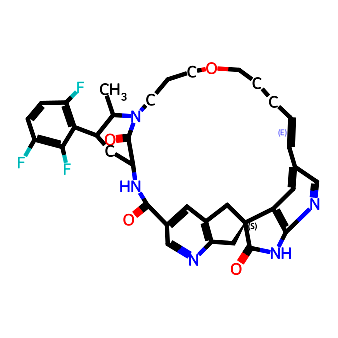 CC1C(c2c(F)ccc(F)c2F)CC2NC(=O)c3cnc4c(c3)C[C@@]3(C4)C(=O)Nc4ncc(cc43)/C=C/CCCOCCCN1C2=O